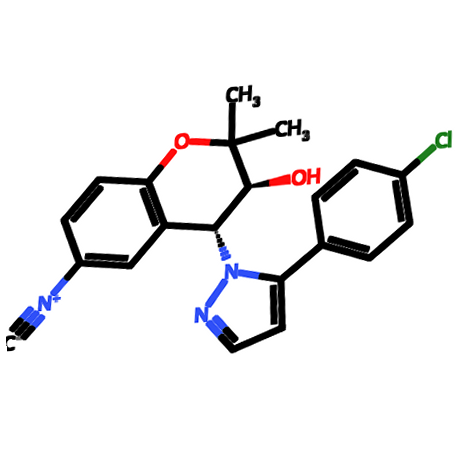 [C-]#[N+]c1ccc2c(c1)[C@@H](n1nccc1-c1ccc(Cl)cc1)[C@H](O)C(C)(C)O2